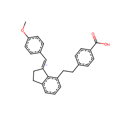 COc1ccc(/C=C2\CCc3cccc(CCc4ccc(C(=O)O)cc4)c32)cc1